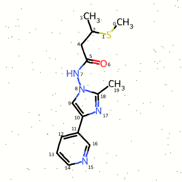 CSC(C)CC(=O)Nn1cc(-c2cccnc2)nc1C